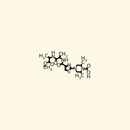 C=C(NC(=O)c1csc(N2CC(C)N(C(=O)O)C(C)C2)n1)C(=O)NC(=C)C(=O)OC